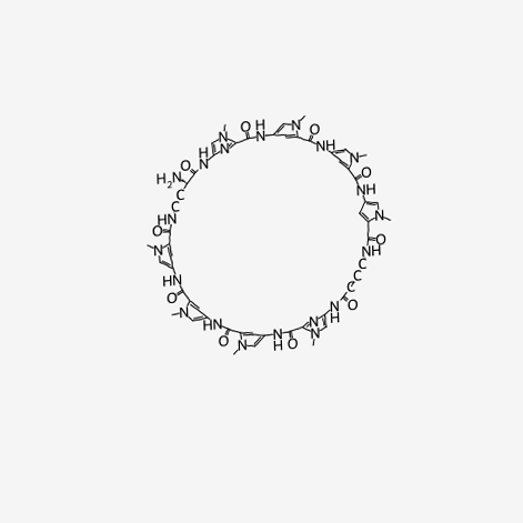 Cn1cc2cc1C(=O)NCCCC(=O)Nc1cn(C)c(n1)C(=O)Nc1cc(n(C)c1)C(=O)Nc1cc(n(C)c1)C(=O)Nc1cc(n(C)c1)C(=O)NCC[C@@H](N)C(=O)Nc1cn(C)c(n1)C(=O)Nc1cc(n(C)c1)C(=O)Nc1cc(n(C)c1)C(=O)N2